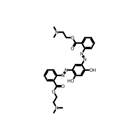 CN(C)CCOC(=O)c1ccccc1/N=N/c1cc(/N=N/c2ccccc2C(=O)OCCN(C)C)c(O)cc1O